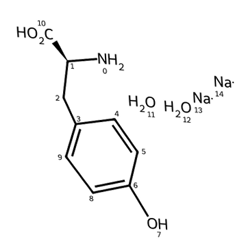 N[C@@H](Cc1ccc(O)cc1)C(=O)O.O.O.[Na].[Na]